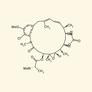 CN[C@@H](C)C(=O)O[C@H]1CC(=O)N(C)c2cc(cc(OC)c2Cl)C/C(C)=C/C=C/[C@@H](C)[C@@]2(O)C[C@H](OC(=O)N2)[C@@H](C)[C@@H]2O[C@]12C